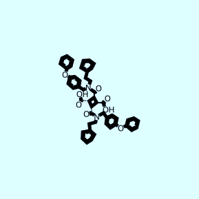 O=C(O)[C@H]1[C@H](C(=O)N(CCc2ccccc2)Cc2ccc(Oc3ccccc3)cc2)[C@H](C(=O)O)[C@H]1C(=O)N(CCc1ccccc1)Cc1ccc(Oc2ccccc2)cc1